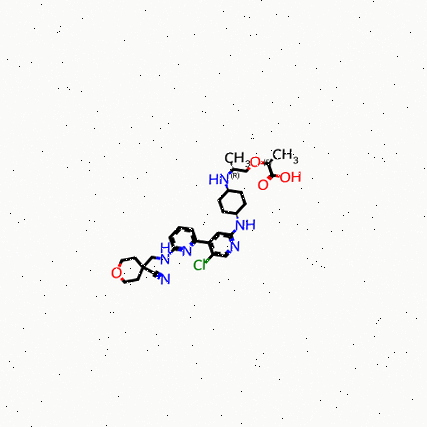 C[C@H](CO[C@@H](C)C(=O)O)N[C@H]1CC[C@H](Nc2cc(-c3cccc(NCC4(C#N)CCOCC4)n3)c(Cl)cn2)CC1